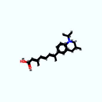 CC(/C=C/C=C(\C)c1ccc2c(c1)CC(C)CN2C(C)C)=C\C(=O)O